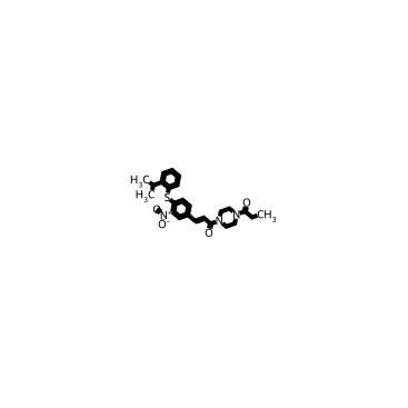 CCC(=O)N1CCN(C(=O)C=Cc2ccc(Sc3ccccc3C(C)C)c([N+](=O)[O-])c2)CC1